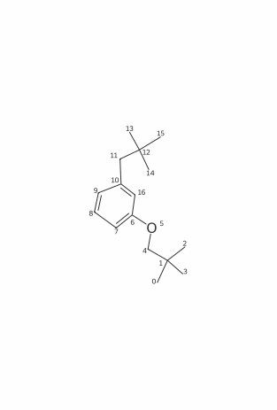 CC(C)(C)COc1cccc(CC(C)(C)C)c1